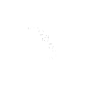 CCCCCCCCc1ccc(-c2ncc(-c3ccc(OCC(F)C(C)CC)cc3)cn2)cc1